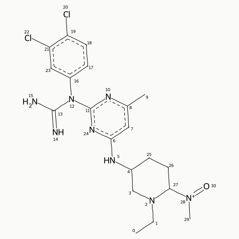 CCN1CC(Nc2cc(C)nc(N(C(=N)N)c3ccc(Cl)c(Cl)c3)n2)CCC1[N+](C)=O